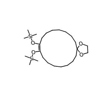 C[Si](C)(C)O/C1=C(\O[Si](C)(C)C)CCCCCCCC2(CCCCCCC1)OCCO2